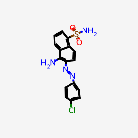 Nc1c(/N=N/c2ccc(Cl)cc2)ccc2c(S(N)(=O)=O)cccc12